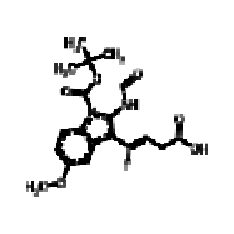 COc1ccc2c(c1)c(C(F)=CCC(=O)O)c(NC=O)n2C(=O)OC(C)(C)C